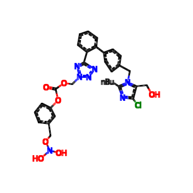 CCCCc1nc(Cl)c(CO)n1Cc1ccc(-c2ccccc2-c2nnn(COC(=O)Oc3cccc(CON(O)O)c3)n2)cc1